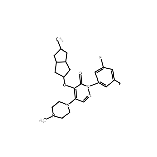 CC1CC2CC(Oc3c(N4CCN(C)CC4)cnn(-c4cc(F)cc(F)c4)c3=O)CC2C1